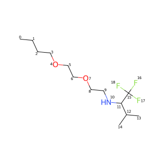 CCCCOCCOCCNC(C(C)C)C(F)(F)F